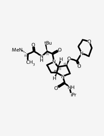 CN[C@@H](C)C(=O)N[C@H](C(=O)N1CC[C@@H]2[C@H]1[C@@H](OC(=O)N1CCOCC1)CN2C(=O)NC(C)C)C(C)(C)C